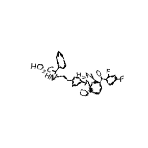 Nc1c(C(=O)c2ccc(F)cc2F)ccc(=O)n1-c1ccc(CCNC(C(=O)O)c2ccccc2)cc1